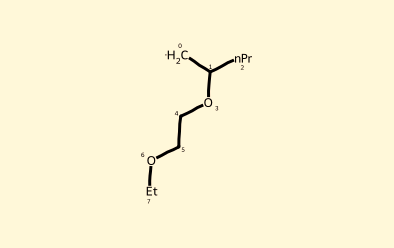 [CH2]C(CCC)OCCOCC